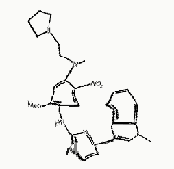 COc1cc(N(C)CCN2CCCC2)c([N+](=O)[O-])cc1Nc1nccc(-c2cn(C)c3ccccc23)n1